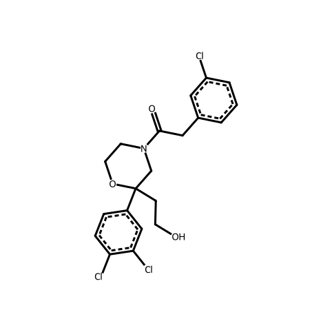 O=C(Cc1cccc(Cl)c1)N1CCOC(CCO)(c2ccc(Cl)c(Cl)c2)C1